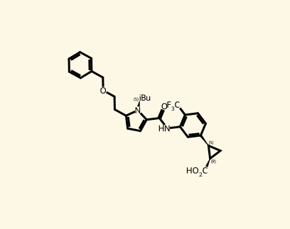 CC[C@H](C)n1c(CCOCc2ccccc2)ccc1C(=O)Nc1cc([C@H]2C[C@H]2C(=O)O)ccc1C(F)(F)F